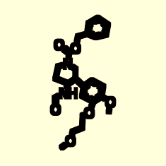 COCCCOc1cc(C2CN(C(=O)OCc3ccccc3)CCC2NC=O)ccc1OC